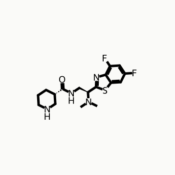 CN(C)[C@@H](CNC(=O)[C@H]1CCCNC1)c1nc2c(F)cc(F)cc2s1